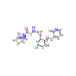 O=C(CNC1CC1c1cc(F)cc(F)c1OCc1cccnc1F)N1CC2CCC(C1)N2